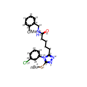 CCCCSc1nnc(CCCCC(=O)NCc2ccccc2OC)n1-c1cccc(Cl)c1